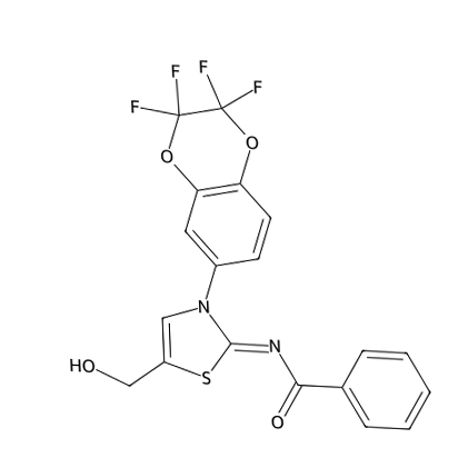 O=C(N=c1sc(CO)cn1-c1ccc2c(c1)OC(F)(F)C(F)(F)O2)c1ccccc1